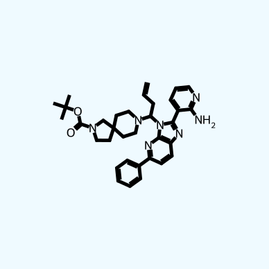 C=CCC(N1CCC2(CCN(C(=O)OC(C)(C)C)C2)CC1)n1c(-c2cccnc2N)nc2ccc(-c3ccccc3)nc21